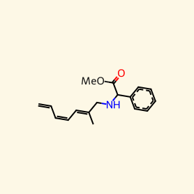 C=C/C=C\C=C(/C)CNC(C(=O)OC)c1ccccc1